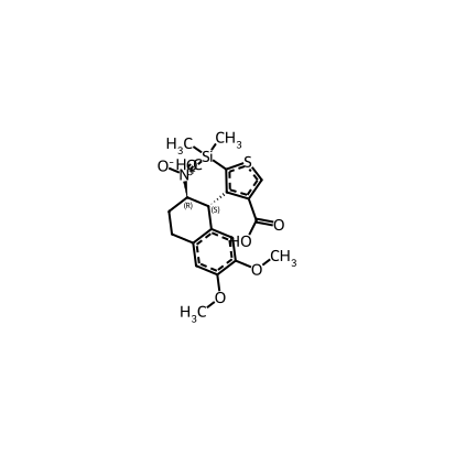 COc1cc2c(cc1OC)[C@@H](c1c(C(=O)O)csc1[Si](C)(C)C)[C@H]([N+](=O)[O-])CC2